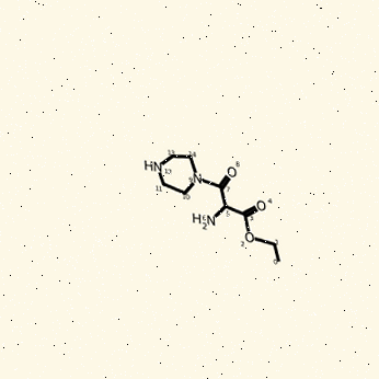 CCOC(=O)C(N)C(=O)N1CCNCC1